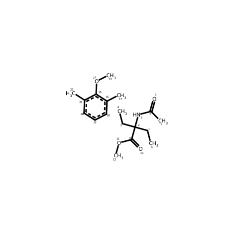 CCC(CC)(NC(C)=O)C(=O)OC.COc1c(C)cccc1C